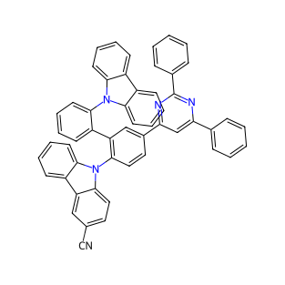 N#Cc1ccc2c(c1)c1ccccc1n2-c1ccc(-c2cc(-c3ccccc3)nc(-c3ccccc3)n2)cc1-c1ccccc1-n1c2ccccc2c2ccccc21